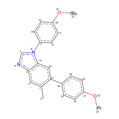 Cc1cc2ncn(-c3ccc(OC(C)(C)C)cc3)c2cc1-c1ccc(OC(C)C)cc1